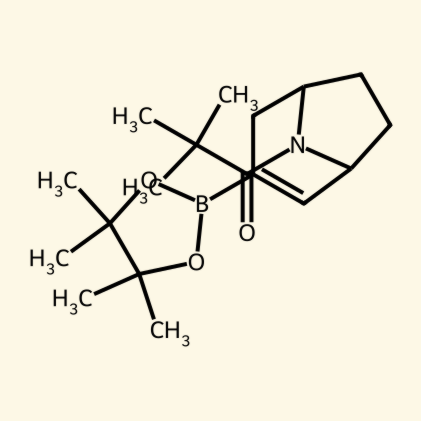 CC(C)(C)C(=O)N1C2C=C(B3OC(C)(C)C(C)(C)O3)CC1CC2